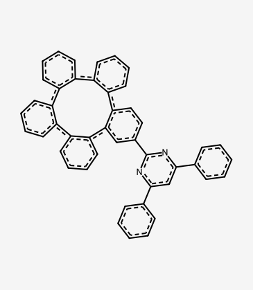 c1ccc(-c2cc(-c3ccccc3)nc(-c3ccc4c5ccccc5c5ccccc5c5ccccc5c5ccccc5c4c3)n2)cc1